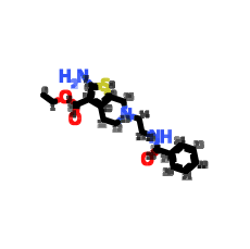 CCOC(=O)c1c(N)sc2c1CCN(CCNC(=O)c1ccccc1)C2